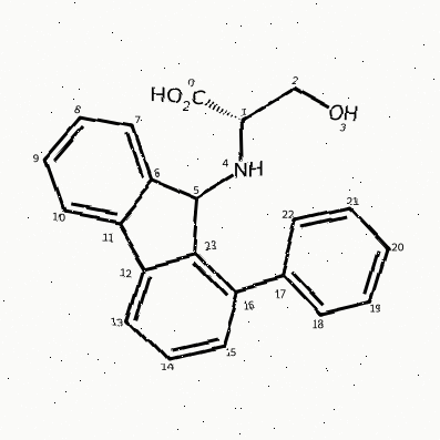 O=C(O)[C@H](CO)NC1c2ccccc2-c2cccc(-c3ccccc3)c21